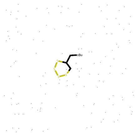 CCCCCC1CSSSS1